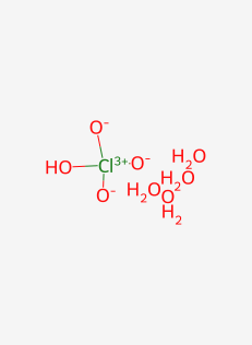 O.O.O.O.[O-][Cl+3]([O-])([O-])O